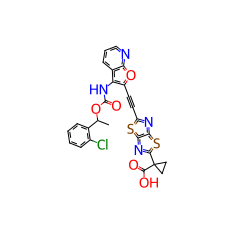 CC(OC(=O)Nc1c(C#Cc2nc3sc(C4(C(=O)O)CC4)nc3s2)oc2ncccc12)c1ccccc1Cl